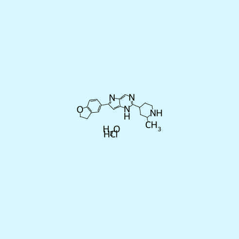 CC1CC(c2ncc3nc(-c4ccc5c(c4)CCO5)cc-3[nH]2)CCN1.Cl.O